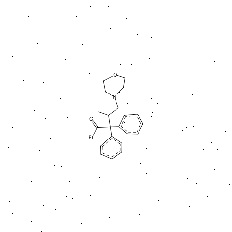 CCC(=O)C(c1ccccc1)(c1ccccc1)C(C)CN1CCOCC1